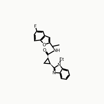 CCn1c([C@H]2C[C@@H]2C(=O)NC(C)c2cc3cc(F)ccc3o2)nc2ccccc21